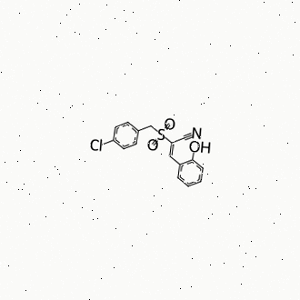 N#C/C(=C\c1ccccc1O)S(=O)(=O)Cc1ccc(Cl)cc1